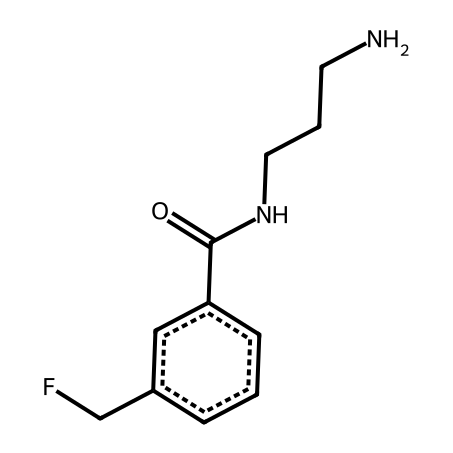 NCCCNC(=O)c1cccc(CF)c1